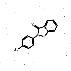 CC(C)(C)c1ccc(-n2sc3ccccc3c2=O)cc1